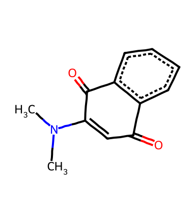 CN(C)C1=CC(=O)c2ccccc2C1=O